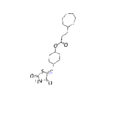 O=C(CCC1CCCCCC1)OC1CCC(/C=C2\SC(=O)NC2=O)CC1